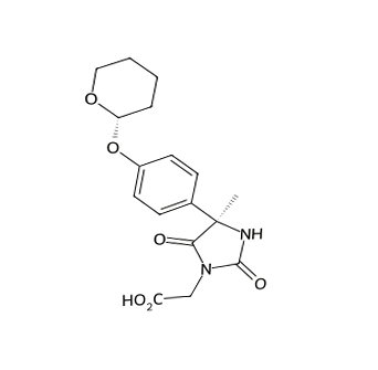 C[C@]1(c2ccc(O[C@H]3CCCCO3)cc2)NC(=O)N(CC(=O)O)C1=O